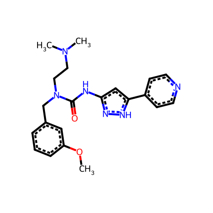 COc1cccc(CN(CCN(C)C)C(=O)Nc2cc(-c3ccncc3)[nH]n2)c1